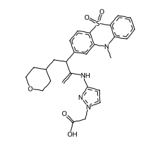 C=C(Nc1ccn(CC(=O)O)n1)C(CC1CCOCC1)c1ccc2c(c1)N(C)c1ccccc1S2(=O)=O